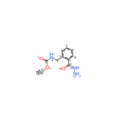 CC(C)(C)OC(=O)NCc1ccccc1C(=O)NN